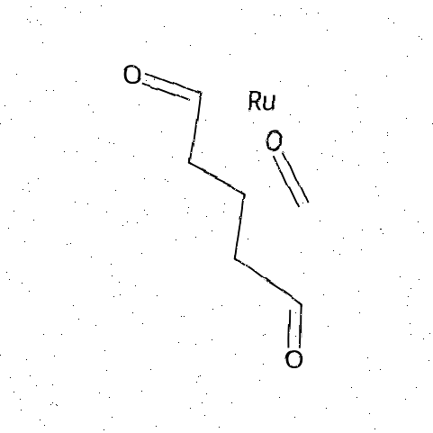 C=O.O=CCCCC=O.[Ru]